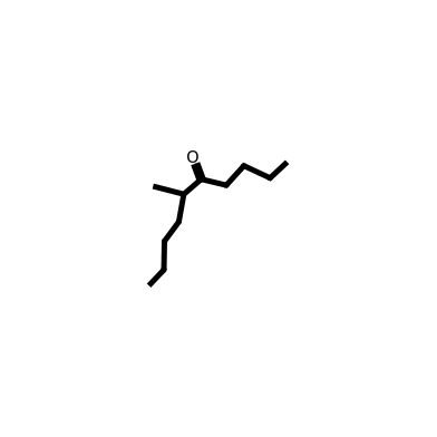 CCCCC(=O)C(C)CCCC